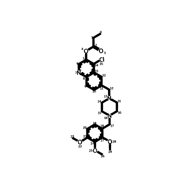 CCC(=O)Oc1cnc2ccc(CN3CCN(Cc4ccc(OC)c(OC)c4OC)CC3)cc2c1Cl